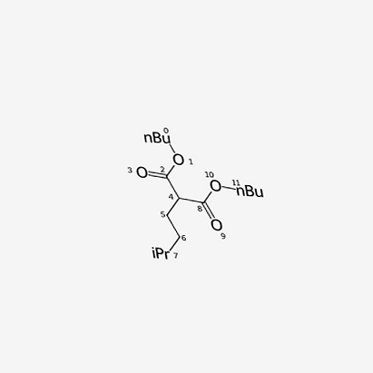 CCCCOC(=O)C(CCC(C)C)C(=O)OCCCC